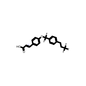 O=C(O)/C=C/c1ccc(OC(F)(F)c2ccc(CCC(F)(F)F)cc2)cc1